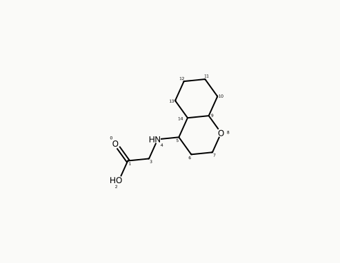 O=C(O)CNC1CCOC2CCCCC12